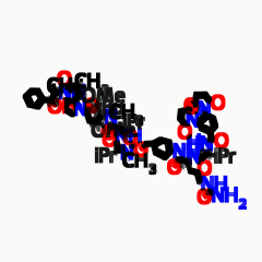 CC[C@H](C)[C@@H]([C@@H](CC(=O)N1CCCC1[C@H](OC)[C@@H](C)C(=O)N[C@H](C)[C@@H](O)c1ccccc1)OC)N(C)C(=O)[C@@H](NC(=O)[C@H](C(C)C)N(C)C(=O)OCc1ccc(NC(=O)[C@H](CCCNC(N)=O)NC(=O)[C@@H](NC(=O)c2ccc(N3C(=O)C=CC3=O)c(N3C(=O)C=CC3=O)c2)C(C)C)cc1)C(C)C